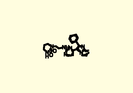 O=S1(=O)NCCCN1CCNc1nccc(-c2c(-c3ccccc3)nc3sccn23)n1